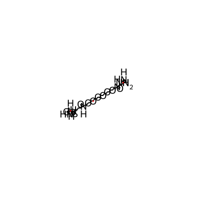 NC(Cc1c[nH]cn1)C(=O)NCCOCCOCCOCCOCCOCCOCCNC(=O)CCCCC1SC[C@H]2NC(=O)N[C@@H]12